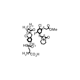 CC1(C)CON(Cc2ccccc2Cl)C1=O.COC(=O)CSc1cc(/N=c2\sc(=O)n3n2CCCC3)c(F)cc1Cl.CP(=O)(O)CCC(N)C(=O)O